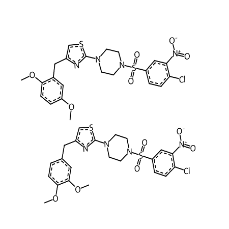 COc1ccc(Cc2csc(N3CCN(S(=O)(=O)c4ccc(Cl)c([N+](=O)[O-])c4)CC3)n2)cc1OC.COc1ccc(OC)c(Cc2csc(N3CCN(S(=O)(=O)c4ccc(Cl)c([N+](=O)[O-])c4)CC3)n2)c1